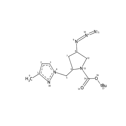 Cc1ccn(CC2CC(N=[N+]=[N-])CN2C(=O)OC(C)(C)C)n1